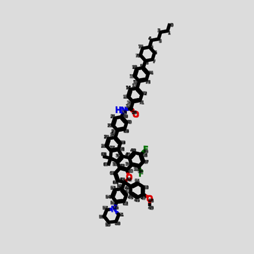 CCCCCC1CCC(c2ccc(-c3ccc(C(=O)Nc4ccc(-c5ccc6c(c5)-c5c(c7c(c8c(F)cc(F)cc58)OC(c5ccc(OC)cc5)(c5ccc(N8CCCCC8)cc5)C=C7)C6(C)C)cc4)cc3)cc2)CC1